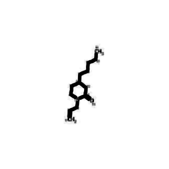 C=CCN1CCC(CCCCC)CC1=O